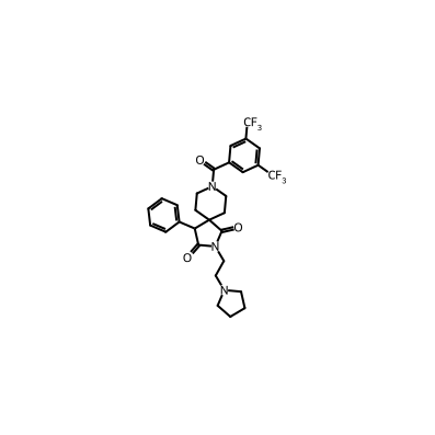 O=C(c1cc(C(F)(F)F)cc(C(F)(F)F)c1)N1CCC2(CC1)C(=O)N(CCN1CCCC1)C(=O)C2c1ccccc1